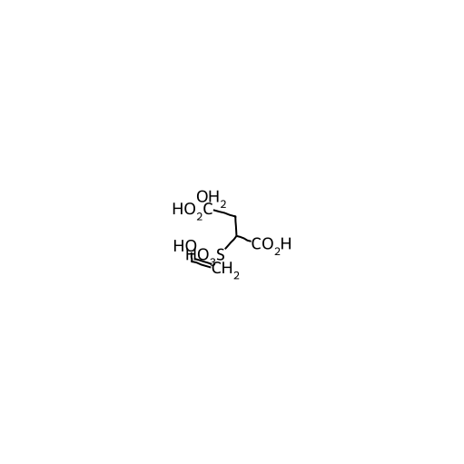 C=CO.O.O=C(O)CC(C(=O)O)S(=O)(=O)O